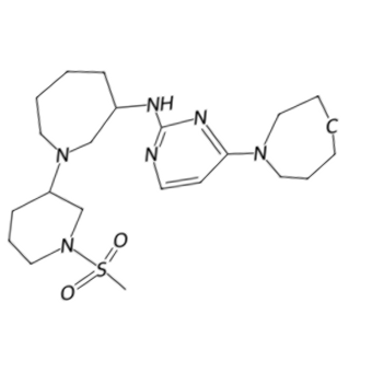 CS(=O)(=O)N1CCCC(N2CCCCC(Nc3nccc(N4CCCCCC4)n3)C2)C1